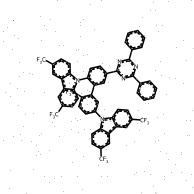 FC(F)(F)c1ccc2c(c1)c1cc(C(F)(F)F)ccc1n2-c1ccc(C(F)(F)F)c(-c2cc(-c3nc(-c4ccccc4)nc(-c4ccccc4)n3)ccc2-n2c3ccc(C(F)(F)F)cc3c3cc(C(F)(F)F)ccc32)c1